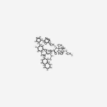 CCC(O)NC(C)(C)CC(=O)NC1CCc2c(ccc3ccccc23)N(Cc2ccc(-c3cscc3-c3nnc(C)o3)cc2)C1=O